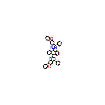 c1ccc(-c2nc(C34c5ccccc5C(c5nc(-c6ccccc6)c6cc7oc8ccccc8c7cc6n5)(c5ccccc53)c3ccccc34)nc3cc4c(cc23)oc2ccccc24)cc1